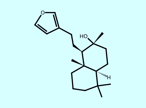 CC1(C)CCC[C@]2(C)[C@@H](CCc3ccoc3)[C@](C)(O)CC[C@@H]12